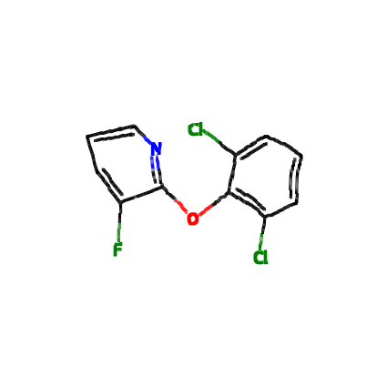 Fc1cccnc1Oc1c(Cl)cccc1Cl